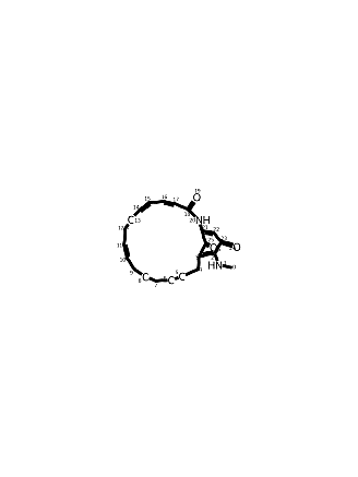 CNC1=C2CCCCCCC=C[CH]CC=CC=CC(=O)NC(=CC1=O)C2=O